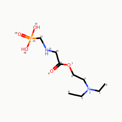 CCN(CC)CCOC(=O)CNCP(=O)(O)O